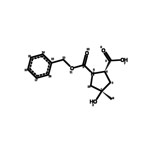 C[C@@]1(O)C[C@@H](C(=O)O)N(C(=O)OCc2ccccc2)C1